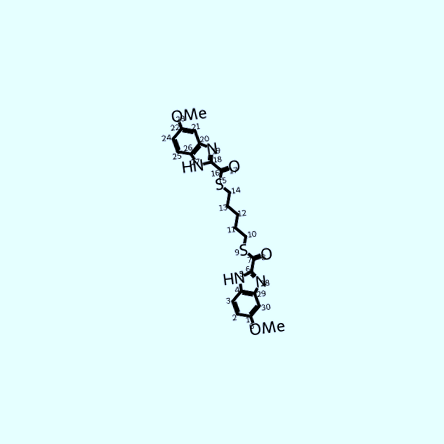 COc1ccc2[nH]c(C(=O)SCCCCCSC(=O)c3nc4cc(OC)ccc4[nH]3)nc2c1